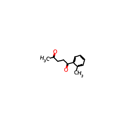 CC(=O)CCC(=O)c1ccccc1C